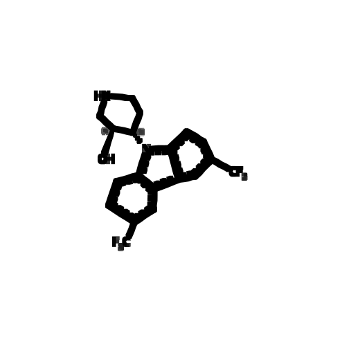 O[C@H]1CNCC[C@@H]1n1c2ccc(C(F)(F)F)cc2c2cc(C(F)(F)F)ccc21